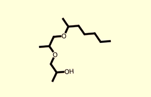 CCCCCC(C)OCC(C)OCC(C)O